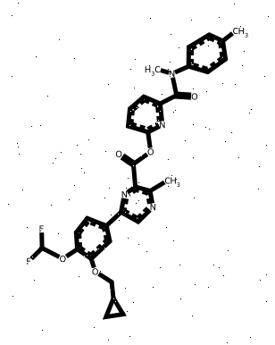 Cc1ccc(N(C)C(=O)c2cccc(OC(=O)c3nc(-c4ccc(OC(F)F)c(OCC5CC5)c4)cnc3C)n2)cc1